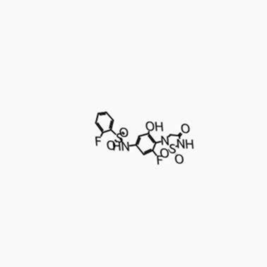 O=C1CN(c2c(O)cc(NS(=O)(=O)c3ccccc3F)cc2F)S(=O)(=O)N1